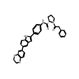 O=C(Nc1ccc(-c2cc3cc(-c4ccc5c(c4)OCCO5)ccc3[nH]2)cc1)[C@@H]1CCCN1C(=O)Cc1ccccc1